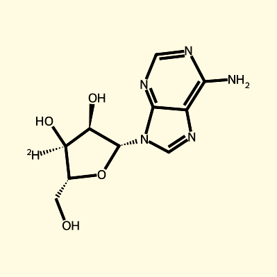 [2H][C@@]1(O)[C@@H](CO)O[C@@H](n2cnc3c(N)ncnc32)[C@@H]1O